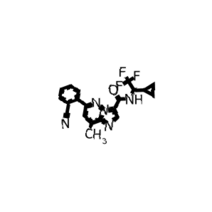 Cc1cc(-c2ccccc2C#N)nn2c(C(=O)NC(C3CC3)C(F)(F)F)cnc12